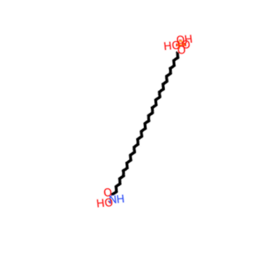 O=C(CCCCCCCCCCCCCCCCCCCCCCCCCCCCCCCCCCCCOP(=O)(O)O)NO